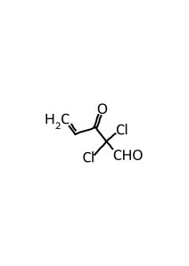 C=CC(=O)C(Cl)(Cl)C=O